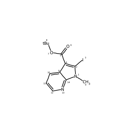 Cn1c(I)c(C(=O)OC(C)(C)C)c2cccnc21